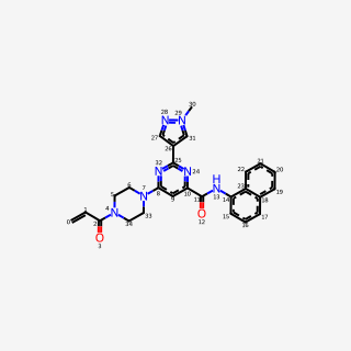 C=CC(=O)N1CCN(c2cc(C(=O)Nc3cccc4ccccc34)nc(-c3cnn(C)c3)n2)CC1